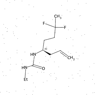 C=CC[C@H](CCC(C)(F)F)NC(=O)NCC